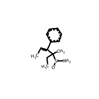 CC=C(c1ccccc1)C(C)(CC)[S+](N)[O-]